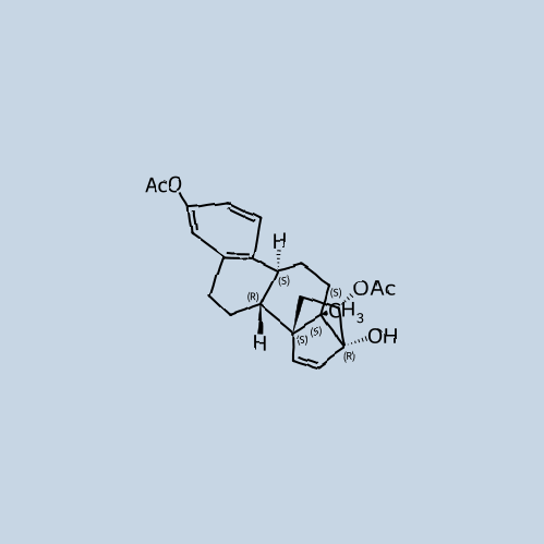 CC(=O)Oc1ccc2c(c1)CC[C@@H]1[C@@H]2CC[C@@]2(C)[C@]13C=C[C@]2(O)[C@@H](OC(C)=O)C3